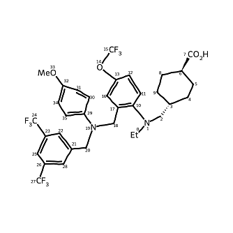 CCN(C[C@H]1CC[C@H](C(=O)O)CC1)c1ccc(OC(F)(F)F)cc1CN(Cc1cc(C(F)(F)F)cc(C(F)(F)F)c1)c1ccc(OC)cc1